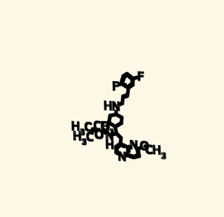 COc1ccc2nccc(CC(NC(=O)OC(C)(C)C)C3CCC(NC/C=C/c4cc(F)ccc4F)CC3)c2n1